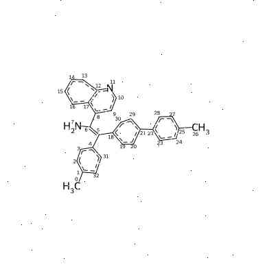 Cc1ccc(C(=C(N)c2ccnc3ccccc23)c2ccc(-c3ccc(C)cc3)cc2)cc1